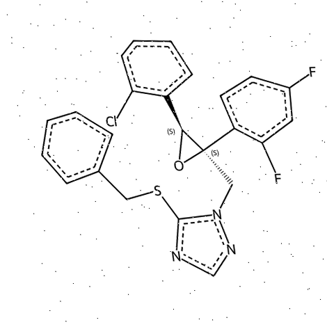 Fc1ccc([C@@]2(Cn3ncnc3SCc3ccccc3)O[C@H]2c2ccccc2Cl)c(F)c1